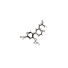 COc1cc(N)ncc1N1CCNC(CC(F)F)C1